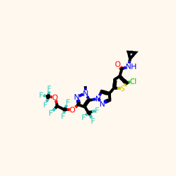 Cn1nc(OC(F)(F)C(F)OC(F)(F)F)c(C(F)(F)F)c1-n1cc(-c2cc(C(=O)NC3CC3)c(Cl)s2)cn1